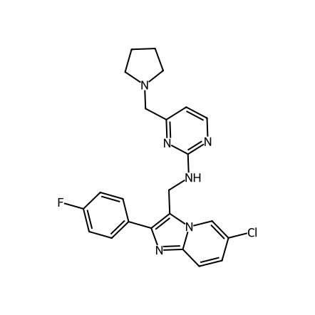 Fc1ccc(-c2nc3ccc(Cl)cn3c2CNc2nccc(CN3CCCC3)n2)cc1